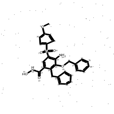 COc1ccc(S(=O)(=O)c2cc(C(=O)NO)c(Cc3ccccc3)c(OCc3ccccc3)c2N)cc1